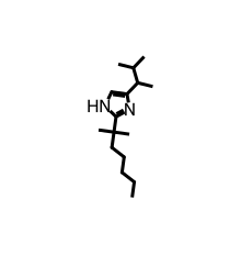 CCCCCC(C)(C)c1nc(C(C)C(C)C)c[nH]1